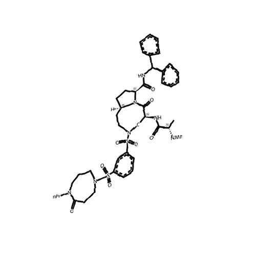 CCCN1CCCN(S(=O)(=O)c2cccc(S(=O)(=O)N3CC[C@H]4CC[C@@H](C(=O)NC(c5ccccc5)c5ccccc5)N4C(=O)[C@@H](NC(=O)[C@H](C)NC)C3)c2)CCC1=O